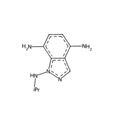 CC(C)Nn1ncc2c(N)ccc(N)c21